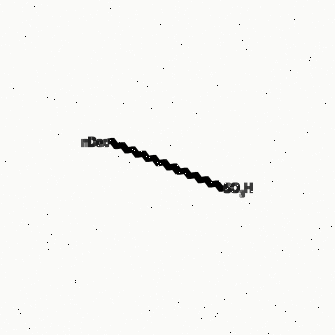 CCCCCCCCCCCCCCCCCCCCCCC=CCCCCCCCCS(=O)(=O)O